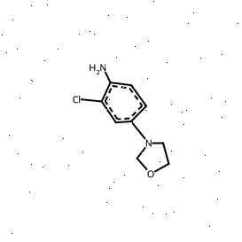 Nc1ccc(N2CCOC2)cc1Cl